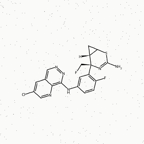 NC1=N[C@](CF)(c2cc(Nc3nncc4cc(Cl)cnc34)ccc2F)[C@@H]2CC2S1